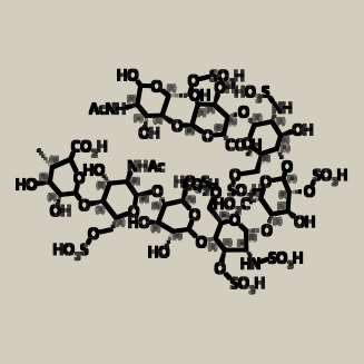 CC(=O)N[C@H]1[C@@H](O[C@H]2[C@H](O)[C@@H](O)C(O[C@H]3[C@H](OS(=O)(=O)O)[C@@H](NS(=O)(=O)O)[C@@H](O[C@H]4[C@H](O)[C@@H](OS(=O)(=O)O)[C@H](O[C@H]5[C@H](O)[C@@H](NS(=O)(=O)O)[C@@H](O[C@H]6[C@H](O)[C@@H](O)[C@H](O[C@H]7[C@H](O)[C@@H](NC(C)=O)C(O)O[C@@H]7COS(=O)(=O)O)O[C@H]6C(=O)O)O[C@@H]5COS(=O)(=O)O)O[C@H]4C(=O)O)O[C@@H]3COS(=O)(=O)O)O[C@@H]2C(=O)O)O[C@H](COS(=O)(=O)O)[C@@H](OC2OC(C(=O)O)[C@@H](C)[C@H](O)[C@H]2O)[C@@H]1O